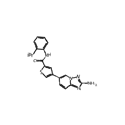 CC(C)c1ccccc1NC(=O)c1cc(-c2ccc3nc(N)nn3c2)cs1